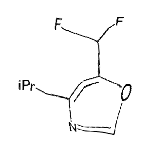 CC(C)c1ncoc1C(F)F